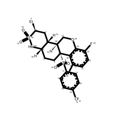 CC[C@H]1C[C@H]2[C@H](CC[C@]3(S(=O)(=O)c4ccc(C(F)(F)F)cc4)c4c(F)ccc(F)c4OC[C@H]23)NS1(=O)=O